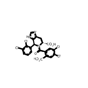 O=C(O)c1cc(Cl)c(Cl)cc1C(=O)N1C(c2cccc(Cl)c2Cl)c2[nH]cnc2C[C@@H]1C(=O)O